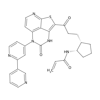 C=CC(=O)N[C@H]1CCC[C@H]1CCC(=O)c1sc2nccc3c2c1NC(=O)N3c1ccnc(-c2cccnc2)c1